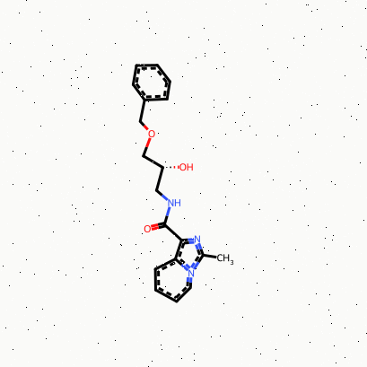 Cc1nc(C(=O)NC[C@@H](O)COCc2ccccc2)c2ccccn12